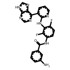 Nc1cccc(C(=O)Nc2ccc(F)c(Nc3ncccc3-c3ncnc4[nH]cnc34)c2F)c1